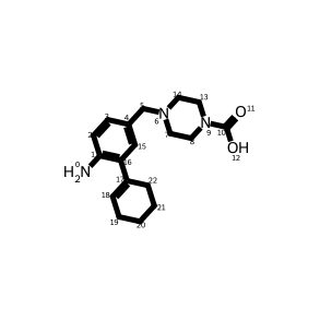 Nc1ccc(CN2CCN(C(=O)O)CC2)cc1C1=CCCCC1